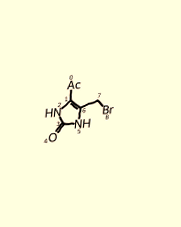 CC(=O)c1[nH]c(=O)[nH]c1CBr